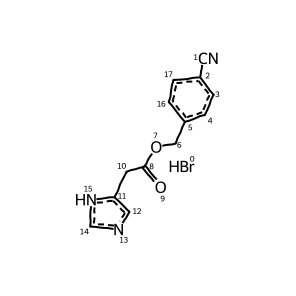 Br.N#Cc1ccc(COC(=O)Cc2cnc[nH]2)cc1